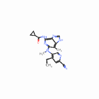 CCc1cc(C#N)ncc1N(C)c1nc(NC(=O)C2CC2)c2nc[nH]c2c1C